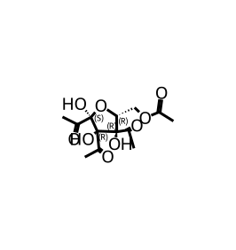 CC(=O)OC[C@H]1O[C@](O)(C(C)=O)[C@@](O)(C(C)=O)[C@@]1(O)C(C)=O